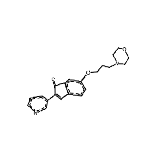 O=C1C(c2cccnc2)=Cc2ccc(OCCCN3CCOCC3)cc21